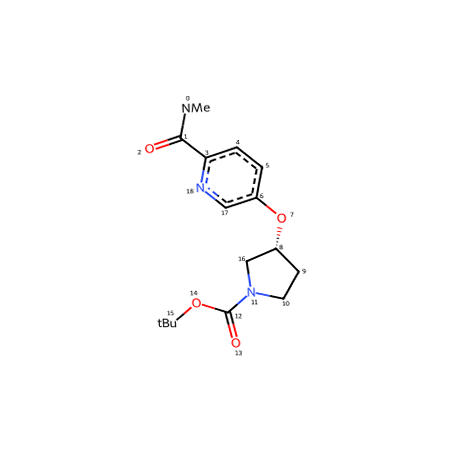 CNC(=O)c1ccc(O[C@@H]2CCN(C(=O)OC(C)(C)C)C2)cn1